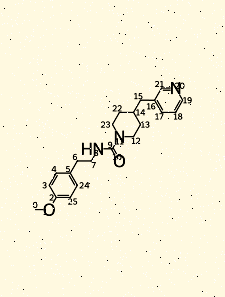 COc1ccc(CCNC(=O)N2CCC(Cc3cccnc3)CC2)cc1